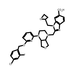 O=C(O)c1ccc2nc(CN3CCN(c4cccc(OCc5ccc(Cl)cc5F)n4)C4COCC43)n(CC3CCO3)c2c1